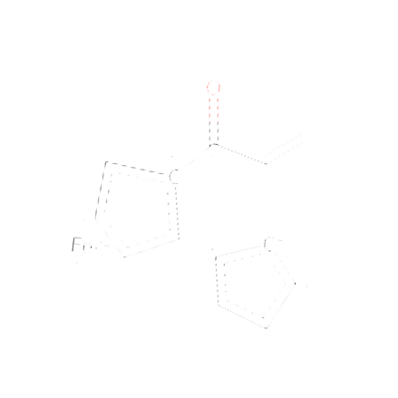 C=CC(=O)[c-]1cccc1.[Fe+2].c1cc[cH-]c1